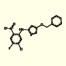 O=[N+]([O-])c1cc(F)c(Cl)cc1Nc1cc(OCc2ccccc2)cs1